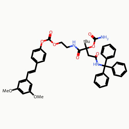 COc1cc(C=Cc2ccc(OC(=O)OCCNC(=O)C(CC(=O)NC(c3ccccc3)(c3ccccc3)c3ccccc3)(OC(N)=O)C(C)(C)C)cc2)cc(OC)c1